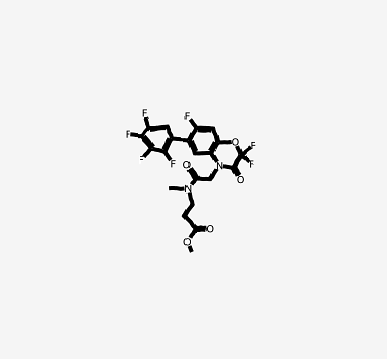 COC(=O)CCN(C)C(=O)CN1C(=O)C(F)(F)Oc2cc(F)c(-c3cc(F)c(F)c(F)c3F)cc21